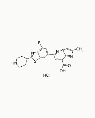 Cc1cn2nc(-c3cc(F)c4nc(C5CCNCC5)sc4c3)cc(C(=O)O)c2n1.Cl